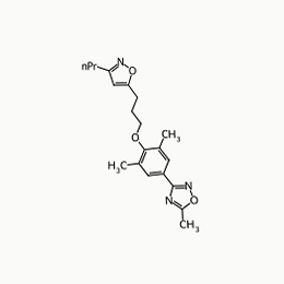 CCCc1cc(CCCOc2c(C)cc(-c3noc(C)n3)cc2C)on1